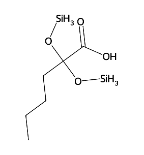 CCCCC(O[SiH3])(O[SiH3])C(=O)O